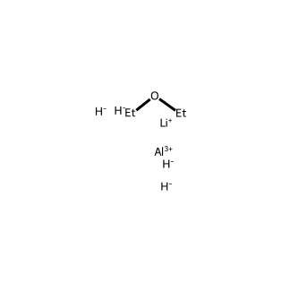 CCOCC.[Al+3].[H-].[H-].[H-].[H-].[Li+]